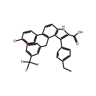 CCc1ccc(-c2c(C(=O)O)[nH]c3ccc(-c4ccc(Cl)cc4)c(Cc4cccc(C(F)(F)F)c4)c23)cc1